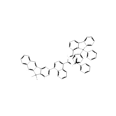 CC1(C)c2ccc(-c3ccc(-c4nc(-c5ccccc5)cc(-c5cccc6c5C(c5ccccc5)(c5ccccc5)c5ccccc5-6)n4)c4ccccc34)cc2-c2cc3ccccc3cc21